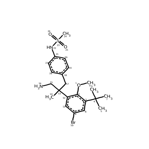 COc1c(C(C)(C)C)cc(Br)cc1C(C)(CN)Cc1ccc(NS(C)(=O)=O)cc1